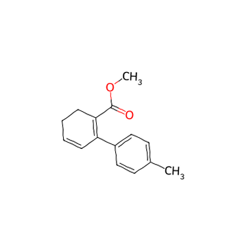 COC(=O)C1=C(c2ccc(C)cc2)C=CCC1